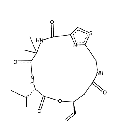 C=C[C@@H]1CC(=O)NCc2nc(cs2)C(=O)NC(C)(C)C(=O)N[C@@H](C(C)C)C(=O)O1